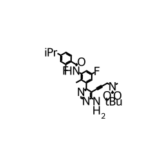 Cc1c(NC(=O)c2ccc(C(C)C)cc2F)cc(F)cc1-c1ncnc(N)c1C#CCN(C)C(=O)OC(C)(C)C